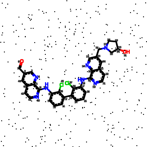 O=Cc1cnc2c(Nc3cccc(-c4cccc(Nc5nccc6cc(CN7CC[C@@H](O)C7)cnc56)c4Cl)c3Cl)nccc2c1